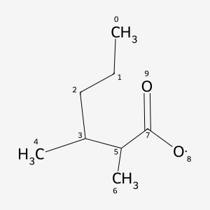 CCCC(C)C(C)C([O])=O